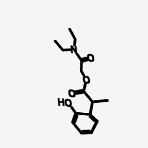 CCN(CC)C(=O)COC(=O)C(C)c1ccccc1O